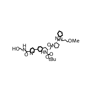 COCCCn1c([C@@H]2CCCN(C(=O)C[C@@H](Cc3ccc(-c4ccc(C(=O)NCCO)nc4)cc3)NC(=O)OC(C)(C)C)C2)nc2ccccc21